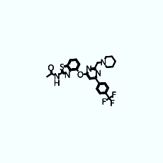 CC(=O)Nc1nc2c(Oc3cc(-c4ccc(C(F)(F)F)cc4)nc(CN4CCCCC4)n3)cccc2s1